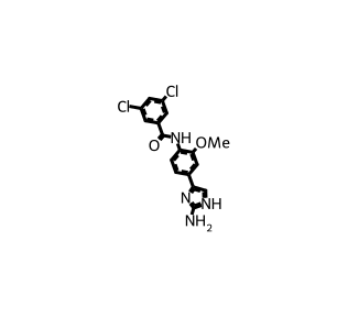 COc1cc(-c2c[nH]c(N)n2)ccc1NC(=O)c1cc(Cl)cc(Cl)c1